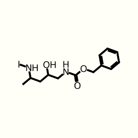 CC(CC(O)CNC(=O)OCc1ccccc1)NI